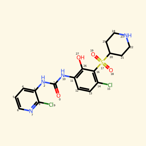 O=C(Nc1cccnc1Cl)Nc1ccc(Cl)c(S(=O)(=O)C2CCNCC2)c1O